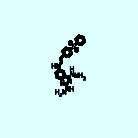 NNc1nc(NN)c2cc(NCCc3ccc(S(=O)(=O)c4ccccc4)cc3)ccc2n1